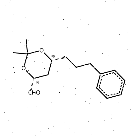 CC1(C)O[C@H](CCCc2ccccc2)C[C@H](C=O)O1